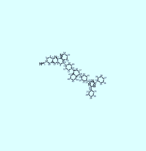 N#Cc1ccc2nc3c(cc(-c4ccc(-c5ccc(-c6ccc(-c7nc(-c8ccccc8)nc(-c8ccccc8)n7)cc6)c6ccccc56)cc4)c4cccnc43)cc2c1